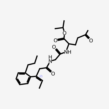 C/C=C(/CC(=O)NCC(=O)NC(CCC(C)=O)C(=O)OC(C)C)c1ccccc1CCC